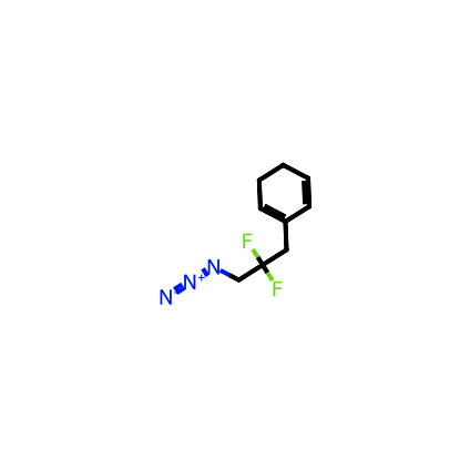 [N-]=[N+]=NCC(F)(F)CC1=CCCC=C1